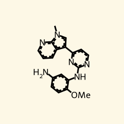 COc1ccc(N)cc1Nc1nccc(-c2cn(C)c3ncccc23)n1